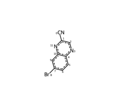 N#Cc1cnc2ccc(Br)cc2n1